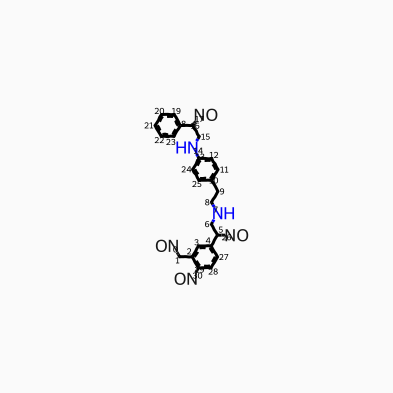 O=NCc1cc(C(CNCCc2ccc(NCC(N=O)c3ccccc3)cc2)N=O)ccc1N=O